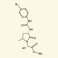 CCC[C@@H](C(=O)OC(C)(C)C)N1C(=O)[C@@H](NC(=O)Nc2ccc(Br)cc2)CC1C